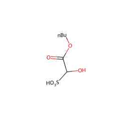 CCCCOC(=O)C(O)S(=O)(=O)O